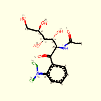 CC(=O)N[C@@H](C(=O)c1ccccc1N(Cl)Cl)[C@@H](O)[C@H](O)[C@H](O)CO